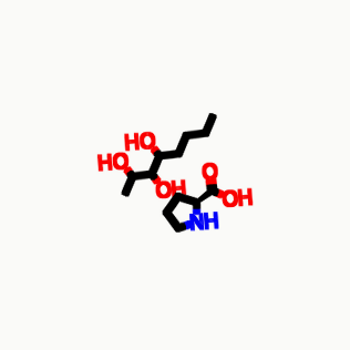 CCCCC(O)C(O)C(C)O.O=C(O)[C@@H]1CCCN1